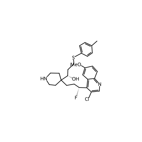 COc1ccc2ncc(Cl)c([C@H](F)CCC3([C@@H](O)CCSc4ccc(C)cc4)CCNCC3)c2c1